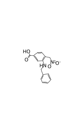 O=C(O)c1ccc(C[N+](=O)[O-])c(NCc2ccccc2)c1